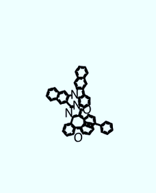 c1ccc(-c2ccc3c(c2)oc2nc(-c4cc5ccccc5cc4-n4c5ccccc5c5cc6ccccc6cc54)nc(-c4cccc5oc6ccccc6c45)c23)cc1